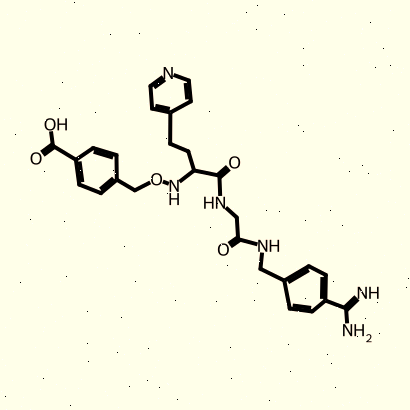 N=C(N)c1ccc(CNC(=O)CNC(=O)C(CCc2ccncc2)NOCc2ccc(C(=O)O)cc2)cc1